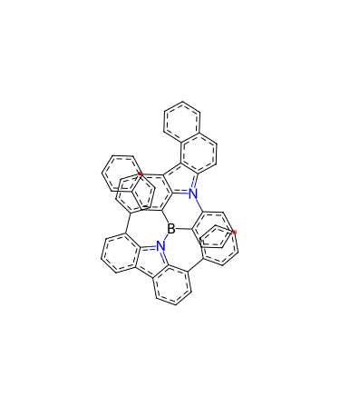 c1ccc(-c2cccc3c4cccc(-c5ccccc5)c4n(B4c5ccccc5-n5c6ccc7ccccc7c6c6c7ccccc7cc4c65)c23)cc1